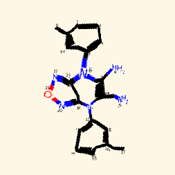 Cc1cccc(N2C(N)=C(N)N(c3cccc(C)c3)c3nonc32)c1